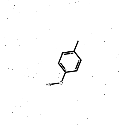 Cc1ccc(OS)cc1